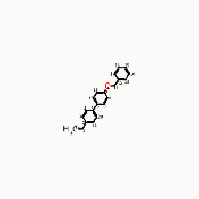 CCc1ccc(-c2ccc(OCc3ccccc3)cc2)cc1